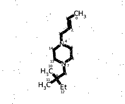 CC=CCN1CCN(CC(C)(C)CC)CC1